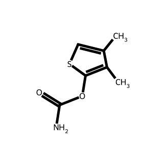 Cc1csc(OC(N)=O)c1C